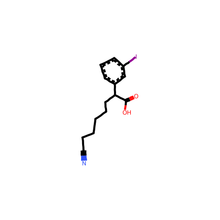 N#CCCCCCC(C(=O)O)c1cccc(I)c1